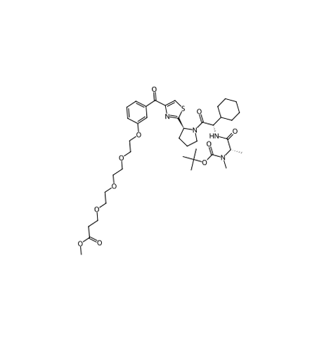 COC(=O)CCOCCOCCOCCOc1cccc(C(=O)c2csc([C@@H]3CCCN3C(=O)[C@@H](NC(=O)[C@H](C)N(C)C(=O)OC(C)(C)C)C3CCCCC3)n2)c1